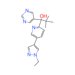 CCn1cc(-c2ccc(C(O)(c3cncnc3)C(C)(C)C)nc2)cn1